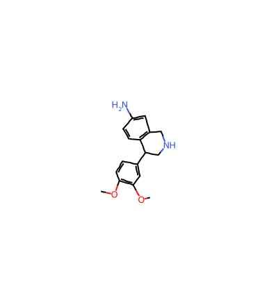 COc1ccc(C2CNCc3cc(N)ccc32)cc1OC